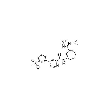 CS(=O)(=O)c1cccc(-c2ccnc(C(=O)NC3=CC(c4nncn4C4CC4)=CCC=C3)c2)c1